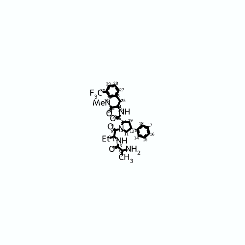 CCC(NC(=O)C(C)N)C(=O)N1C[C@@H](c2ccccc2)C[C@H]1C(=O)NC(Cc1cccc(C(F)(F)F)c1)C(=O)NC